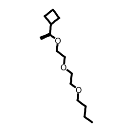 C=C(OCCOCCOCCCC)C1CCC1